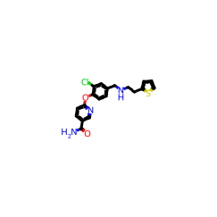 NC(=O)c1ccc(Oc2ccc(CNCCc3cccs3)cc2Cl)nc1